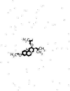 C=C(I)CO[C@H]1C[C@H]2c3ccc(OCC)cc3CCN2C[C@@H]1CC(C)C